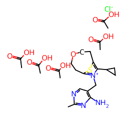 CC(=O)O.CC(=O)O.CC(=O)O.CC(=O)O.CC(=O)O.Cc1ncc(C[n+]2c3sc(c2C2CC2)CCOCC3)c(N)n1.[Cl-]